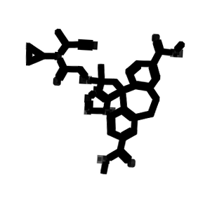 CNC(=O)c1ccc2c(c1)CCc1cc(C(=O)NC)ccc1C2(CC(C)(C)NCC(=O)N(C(C)C#N)C1CC1)c1nnn[nH]1